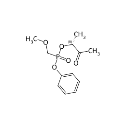 COCP(=O)(Oc1ccccc1)O[C@H](C)C(C)=O